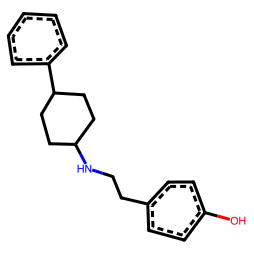 Oc1ccc(CCNC2CCC(c3ccccc3)CC2)cc1